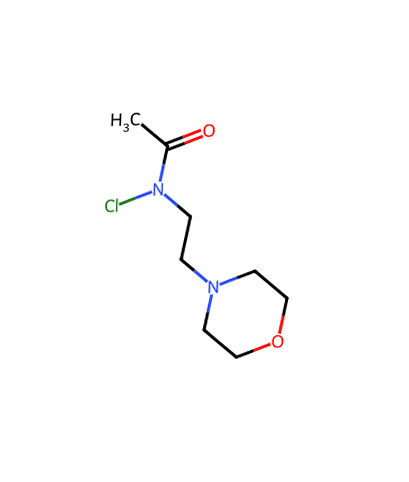 CC(=O)N(Cl)CCN1CCOCC1